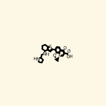 COc1c(-c2cc3c(s2)CCCC3NCC2CCCN2)ccc2c(=O)c(C(=O)O)cn(C3CC3)c12